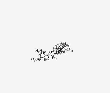 CCC(C)(CC1O[C@@H](n2cnc3c(OC)nc(N)nc32)[C@H](O)[C@@H]1O)OP(=O)(O)C(O)(CC)CC